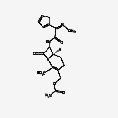 CO/N=C(\C(=O)NC1C(=O)N2C(C(=O)O)=C(COC(N)=O)CC[C@H]12)C1=CC=CC1